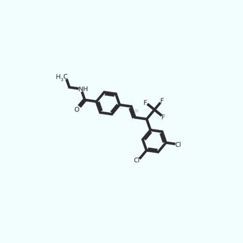 CCNC(=O)c1ccc(/C=C/C(c2cc(Cl)cc(Cl)c2)C(F)(F)F)cc1